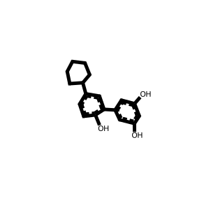 Oc1cc(O)cc(-c2cc(C3CCCCC3)ccc2O)c1